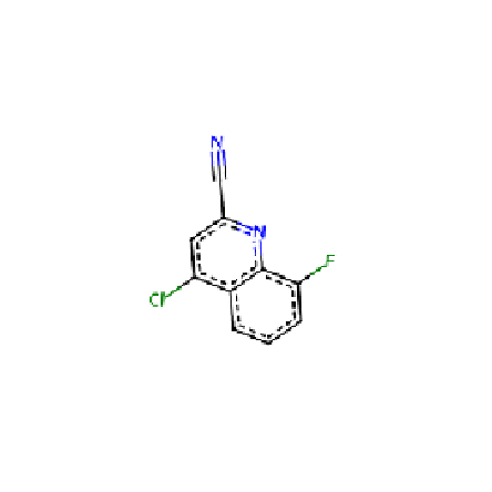 N#Cc1cc(Cl)c2cccc(F)c2n1